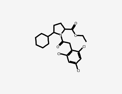 CCOC(=O)C1CCC(C2CCCCC2)N1C(=O)Cc1c(Cl)cc(Cl)cc1Cl